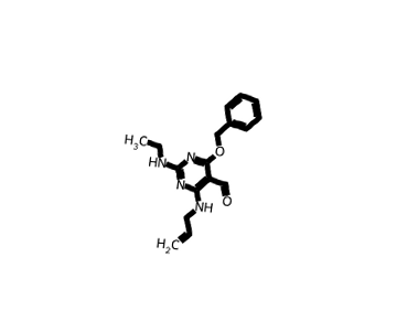 C=CCNc1nc(NCC)nc(OCc2ccccc2)c1C=O